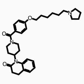 O=C(c1ccc(OCCCCCCN2CCCC2)cc1)N1CCC(N2C(=O)CCc3ccccc32)CC1